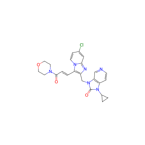 O=C(/C=C/c1c(Cn2c(=O)n(C3CC3)c3ccncc32)nc2cc(Cl)ccn12)N1CCOCC1